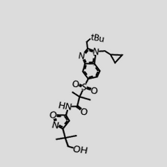 CC(C)(C)Cc1nc2cc(S(=O)(=O)C(C)(C)C(=O)Nc3cc(C(C)(C)CO)no3)ccc2n1CC1CC1